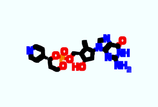 C=C1[C@H](CO[P@]2(=O)OCC[C@H](c3ccncc3)O2)[C@@H](O)C[C@@H]1n1cnc2c(=O)[nH]c(N)nc21